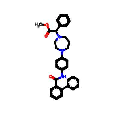 COC(=O)C(c1ccccc1)N1CCCN(c2ccc(NC(=O)c3ccccc3-c3ccccc3)cc2)CC1